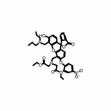 CCCN(CCC)Cc1c(O)ccc2c1Oc1c(ccc(Oc3ccc([N+](=O)[O-])cc3)c1CN(CC(=O)OCC)CC(=O)OCC)C21OC(=O)c2ccccc21